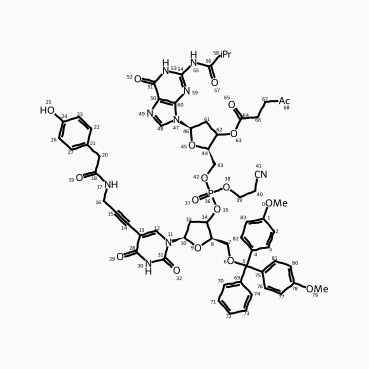 COc1ccc(C(OC[C@H]2O[C@@H](n3cc(C#CCNC(=O)Cc4ccc(O)cc4)c(=O)[nH]c3=O)CC2OP(=O)(OCCC#N)OC[C@H]2O[C@@H](n3cnc4c(=O)[nH]c(NC(=O)C(C)C)nc43)CC2OC(=O)CCC(C)=O)(c2ccccc2)c2ccc(OC)cc2)cc1